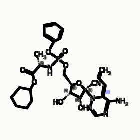 C=C/C=C1/C(N)=NC=NN1[C@]1(C#N)O[C@H](COP(=O)(N[C@@H](C)C(=O)OC2CCCCC2)Oc2ccccc2)[C@@H](O)[C@H]1O